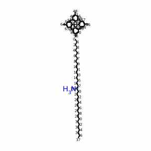 CCCCCCCCCCCCCCCCCCC([NH3+])CCCCCCCCCCCCCCCCCC.Cc1ccc([B-](c2ccc(C)cc2C)(c2ccc(C)cc2C)c2ccc(C)cc2C)c(C)c1